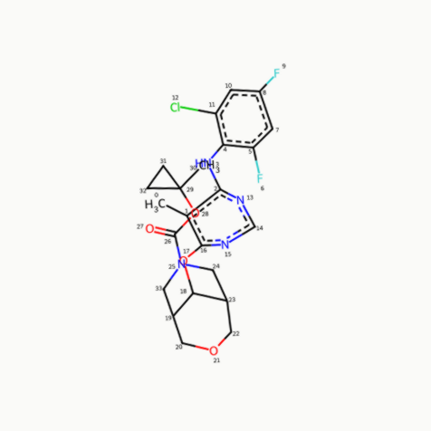 Cc1c(Nc2c(F)cc(F)cc2Cl)ncnc1OC1C2COCC1CN(C(=O)OC1(C)CC1)C2